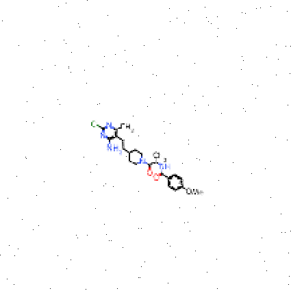 COc1ccc(C(=O)N[C@@H](C)C(=O)N2CCC(CCc3c(C)nc(Cl)nc3N)CC2)cc1